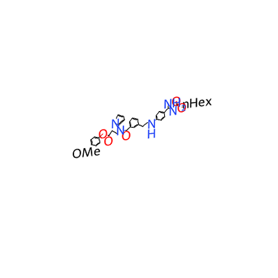 CCCCCCOC(=O)/N=C(\N)c1ccc(NCCc2cccc(C(=O)N(CCC(=O)Oc3cccc(OC)c3)c3ccccn3)c2)cc1